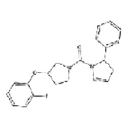 O=C(N1CCC(Oc2ccccc2F)C1)N1N=CCC1c1ccccc1